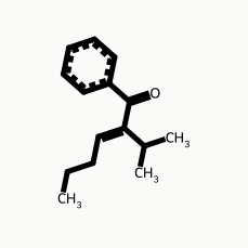 CCCC=C(C(=O)c1ccccc1)C(C)C